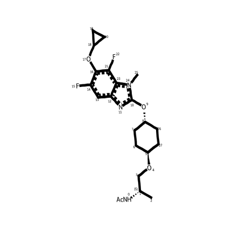 CC(=O)N[C@@H](C)CO[C@H]1CC[C@H](Oc2nc3cc(F)c(OC4CC4)c(F)c3n2C)CC1